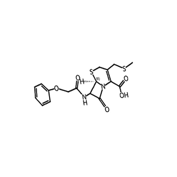 CSCC1=C(C(=O)O)N2C(=O)C(NC(=O)COc3ccccc3)[C@H]2SC1